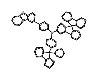 c1ccc(C2(c3ccc(N(c4ccc(-c5ccc6sc7ccccc7c6c5)cc4)c4ccc5c(c4)-c4ccccc4C54c5ccccc5-c5ccccc54)cc3)c3ccccc3-c3ccccc32)cc1